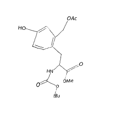 COC(=O)C(Cc1ccc(O)cc1COC(C)=O)NC(=O)OC(C)(C)C